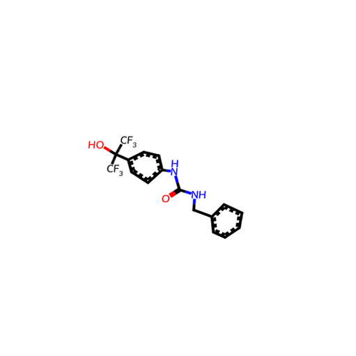 O=C(NCc1ccccc1)Nc1ccc(C(O)(C(F)(F)F)C(F)(F)F)cc1